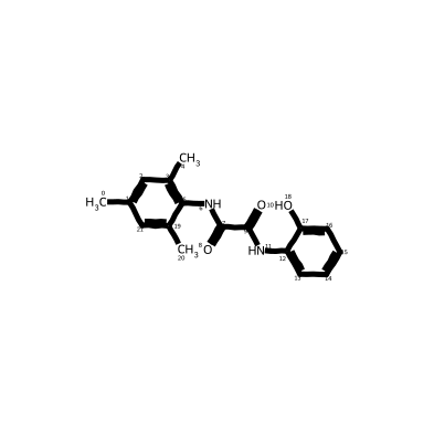 Cc1cc(C)c(NC(=O)C(=O)Nc2ccccc2O)c(C)c1